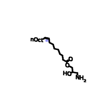 CCCCCCCC/C=C\CCCCCCCC(=O)OCC(O)CN